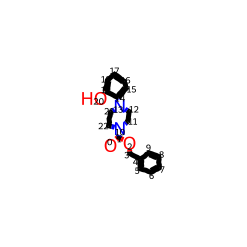 O=C(OCc1ccccc1)N1CCN(c2ccccc2O)CC1